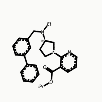 CCN(Cc1cccc(-c2ccccc2)c1)[C@@H]1CCN(c2ncccc2C(=O)OC(C)C)C1